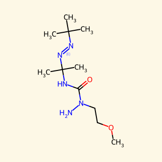 COCCN(N)C(=O)NC(C)(C)/N=N/C(C)(C)C